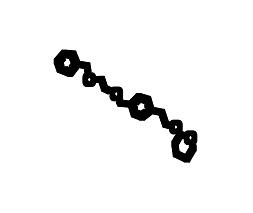 c1ccc(COCCOCc2ccc(CCOC3CCCCO3)cc2)cc1